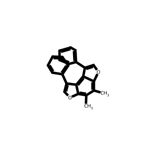 Cc1c(C)c2occ(-c3ccccc3)c2c2c(-c3ccccc3)coc12